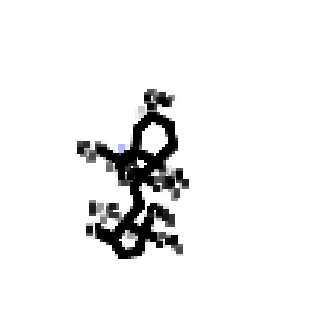 CC/C(=C1/C[C@@H](OC(C)=O)CC[C@]1(C)C(C)(C)CC[C@]1(C)C(=O)CCC1(C)C)[N+](=O)[O-]